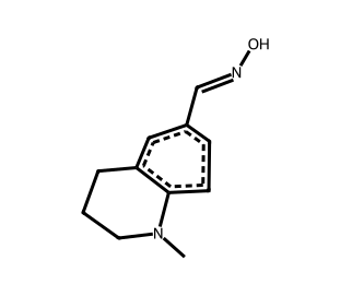 CN1CCCc2cc(C=NO)ccc21